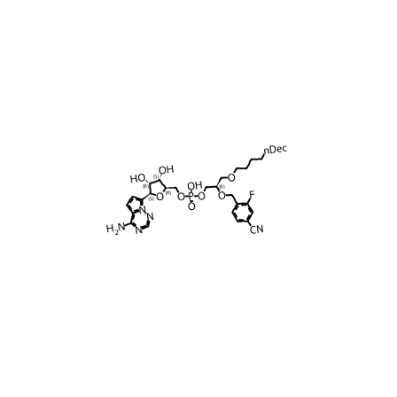 CCCCCCCCCCCCCCOC[C@H](COP(=O)(O)OC[C@H]1O[C@@H](c2ccc3c(N)ncnn23)[C@H](O)[C@@H]1O)OCc1ccc(C#N)cc1F